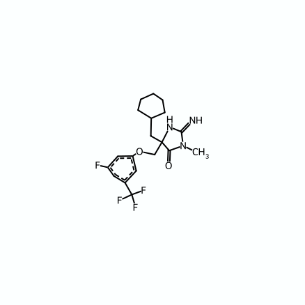 CN1C(=N)NC(COc2cc(F)cc(C(F)(F)F)c2)(CC2CCCCC2)C1=O